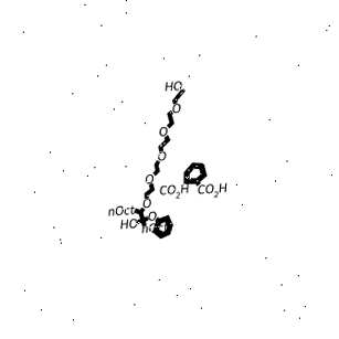 CCCCCCCCC(OCCOCCOCCOCCOCCO)C(O)(CCCCCCCC)Oc1ccccc1.O=C(O)c1ccccc1C(=O)O